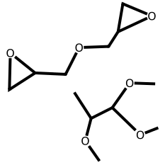 C(OCC1CO1)C1CO1.COC(C)C(OC)OC